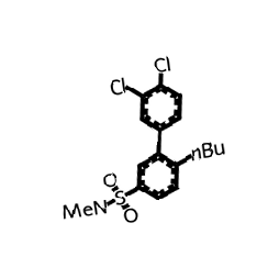 CCCCc1ccc(S(=O)(=O)NC)cc1-c1ccc(Cl)c(Cl)c1